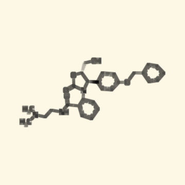 CN(C)CCNC(=O)c1ccccc1N1C(=O)O[C@H](CO)[C@H]1c1ccc(OCc2ccccc2)cc1